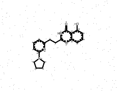 O=c1[nH]c(CCc2cccc(N3CCCC3)n2)nc2cccc(Cl)c12